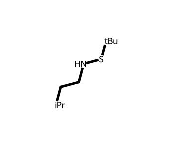 CC(C)CCNSC(C)(C)C